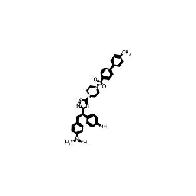 Cc1ccc(-c2ccc(S(=O)(=O)N3CCN(c4nc(C(Cc5ccc(N(C)C)cc5)c5ccc(N)cc5)ns4)CC3)cc2)cc1